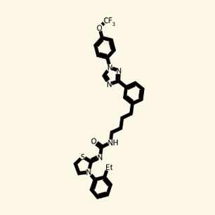 CCc1ccccc1N1CCS/C1=N\C(=O)NCCCCc1cccc(-c2ncn(-c3ccc(OC(F)(F)F)cc3)n2)c1